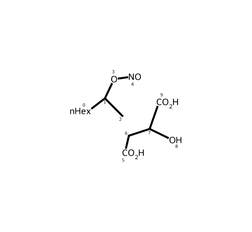 CCCCCCC(C)ON=O.O=C(O)CC(O)C(=O)O